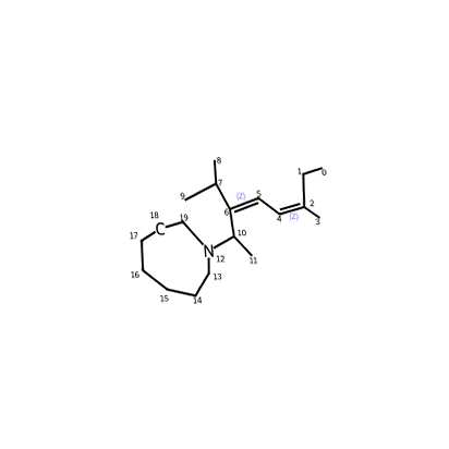 CC/C(C)=C\C=C(\C(C)C)C(C)N1CCCCCCC1